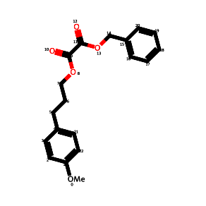 COc1ccc(CCCOC(=O)C(=O)OCc2ccccc2)cc1